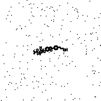 C=C(C)C(=O)OC(C)(C)CC(C)(S)Oc1ccc2cc(-c3ccc(CCCO)cc3)oc2c1